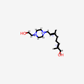 C/C(=C\CC/C(C)=C/CN1CCN(CCO)CC1)CO